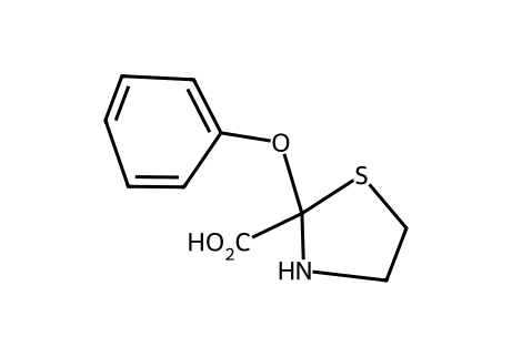 O=C(O)C1(Oc2ccccc2)NCCS1